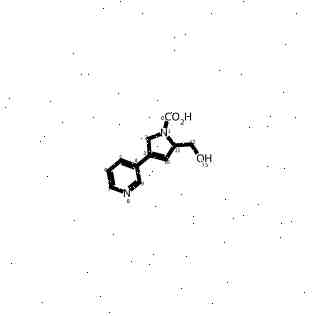 O=C(O)N1CC(c2cccnc2)=CC1CO